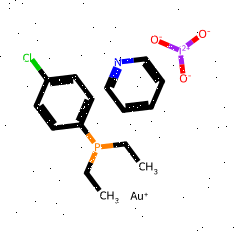 CCP(CC)c1ccc(Cl)cc1.[Au+].[O-][I+2]([O-])[O-].c1ccncc1